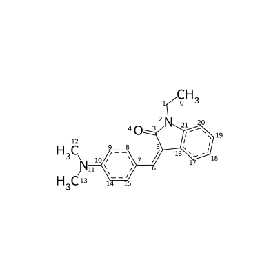 CCN1C(=O)/C(=C\c2ccc(N(C)C)cc2)c2ccccc21